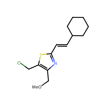 COCc1nc(C=CC2CCCCC2)sc1CCl